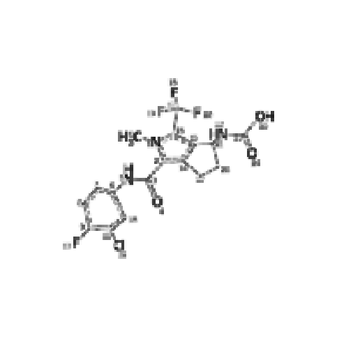 Cn1c(C(=O)Nc2ccc(F)c(Cl)c2)c2c(c1C(F)(F)F)C(NC(=O)O)CC2